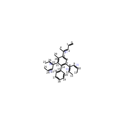 C=C/C=C(\C)c1cc(C(/C=C\C)=C/C)c(-c2ccccc2)c(C(/C=C\C)=C/C)c1C